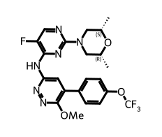 COc1nnc(Nc2nc(N3C[C@@H](C)O[C@@H](C)C3)ncc2F)cc1-c1ccc(OC(F)(F)F)cc1